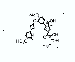 COc1ccc([C@@H]2CN(C(=O)[C@@H](O)CO)C[C@@]2(C)[C@@H](C)O)cc1OC1CN(c2ccc(C(=O)O)c(C)n2)C1.O=NO